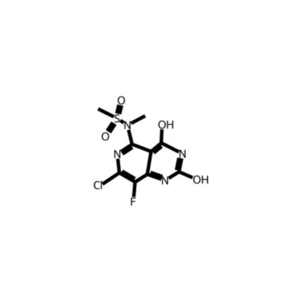 CN(c1nc(Cl)c(F)c2nc(O)nc(O)c12)S(C)(=O)=O